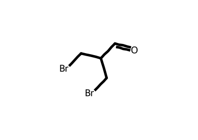 O=CC(CBr)CBr